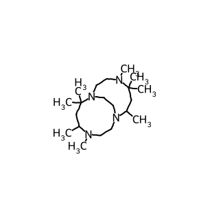 CC1CC(C)(C)N2CCN(CCN1C)C(C)CC(C)(C)N(C)CC2